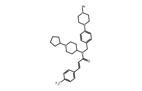 CC(C)N1CCN(c2ccc(CN(C(=O)C=Cc3ccc(C(F)(F)F)cc3)C3CCN(C4CCCC4)CC3)cc2)CC1